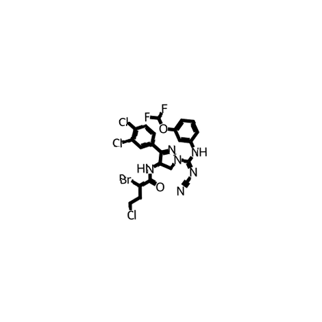 N#C/N=C(/Nc1cccc(OC(F)F)c1)N1CC(NC(=O)C(Br)CCCl)C(c2ccc(Cl)c(Cl)c2)=N1